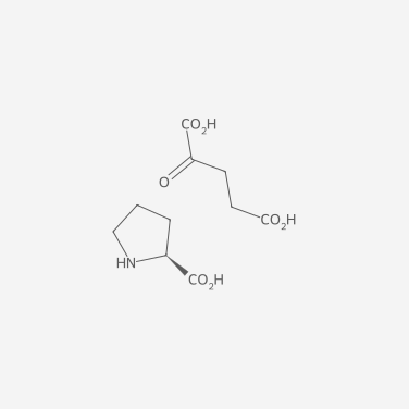 O=C(O)CCC(=O)C(=O)O.O=C(O)[C@@H]1CCCN1